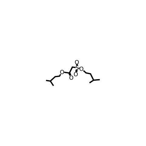 CC(C)CCOC(=O)CS(=O)(=O)OCCC(C)C